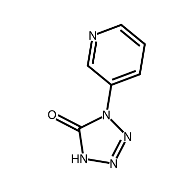 O=c1[nH]nnn1-c1cccnc1